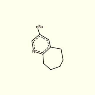 CCCCc1cnc2c(c1)CCCCC2